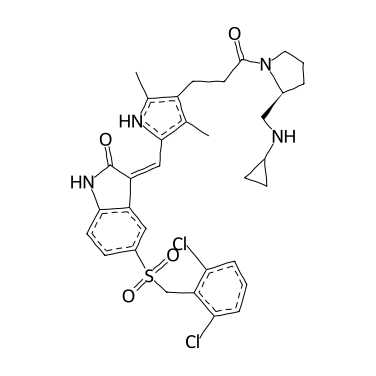 Cc1[nH]c(/C=C2\C(=O)Nc3ccc(S(=O)(=O)Cc4c(Cl)cccc4Cl)cc32)c(C)c1CCC(=O)N1CCC[C@H]1CNC1CC1